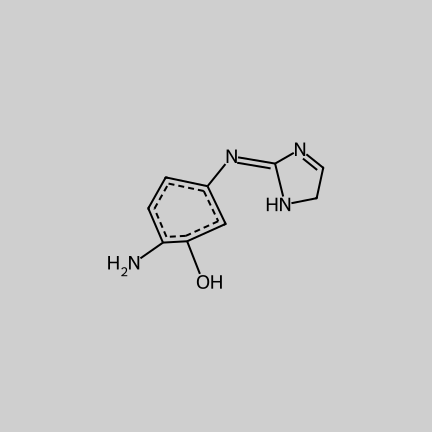 Nc1ccc(N=C2N=CCN2)cc1O